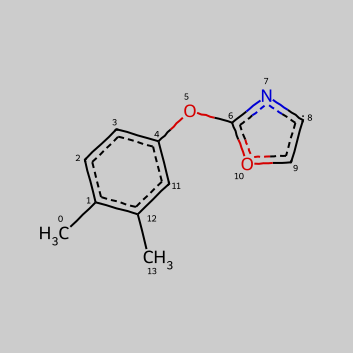 Cc1ccc(Oc2n[c]co2)cc1C